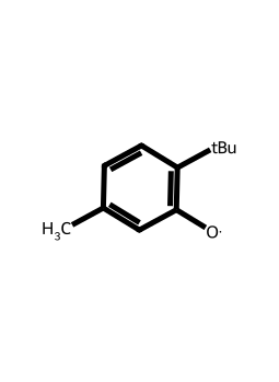 Cc1ccc(C(C)(C)C)c([O])c1